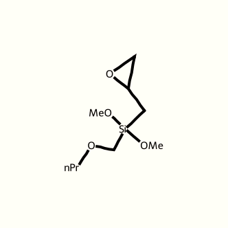 CCCOC[Si](CC1CO1)(OC)OC